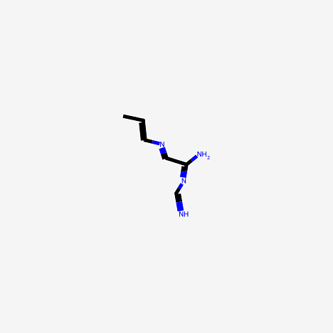 C/C=C/N=C/C(N)=N\C=N